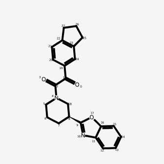 O=C(C(=O)N1CCC[C@H](c2nc3ccccc3o2)C1)c1ccc2c(c1)CCC2